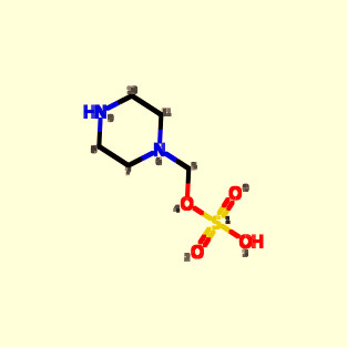 O=S(=O)(O)OCN1CCNCC1